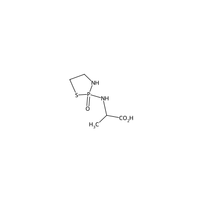 CC(NP1(=O)NCCS1)C(=O)O